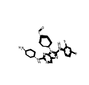 N[C@H]1CC[C@H](Nc2ncc3nc(Nc4ccc(F)cc4F)n([C@H]4CC[C@@H](C=O)CC4)c3n2)CC1